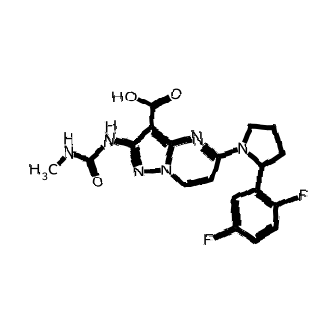 CNC(=O)Nc1nn2ccc(N3CCCC3c3cc(F)ccc3F)nc2c1C(=O)O